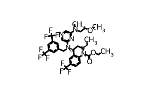 CCOC(=O)N1c2ccc(C(F)(F)F)cc2[C@@H](N(Cc2cc(C(F)(F)F)cc(C(F)(F)F)c2)c2cncc(N(C)CCOC)n2)C[C@H]1CC